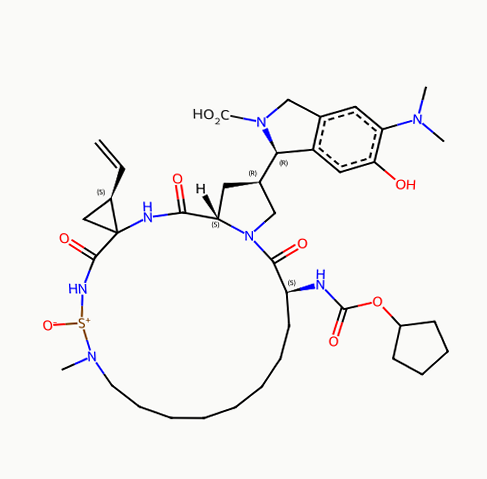 C=C[C@@H]1CC12NC(=O)[C@@H]1C[C@@H]([C@@H]3c4cc(O)c(N(C)C)cc4CN3C(=O)O)CN1C(=O)[C@@H](NC(=O)OC1CCCC1)CCCCCCCCN(C)[S+]([O-])NC2=O